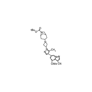 COc1cc(-c2cnn(C3CN(C4CC5CC(C4)N(C(=O)OC(C)(C)C)C5)C3)c2C)cn2ncc(C#N)c12